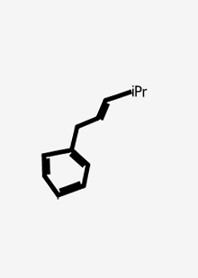 CC(C)C=CCc1cc[c]cc1